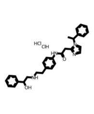 CC(c1ccccc1)n1ccnc1CC(=O)Nc1ccc(CCNCC(O)c2ccccc2)cc1.Cl.Cl